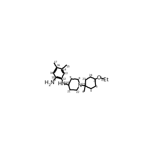 CCOC1CCC(C)(N2CCC(Nc3cc(C)c(C)cc3N)CC2)CC1